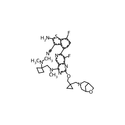 CN(CC1(N(C)C)CCC1)c1nc(OCC2(CN3CC4COC(C4)C3)CC2)nc2c(F)c(-c3ccc(F)c4sc(N)c(C#N)c34)ncc12